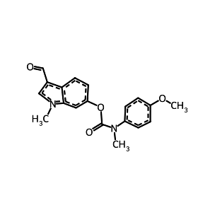 COc1ccc(N(C)C(=O)Oc2ccc3c(C=O)cn(C)c3c2)cc1